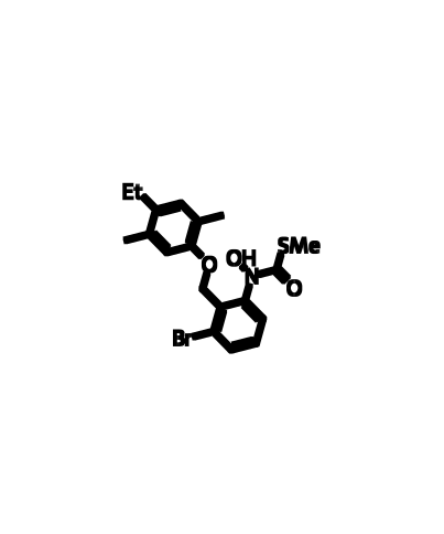 CCc1cc(C)c(OCc2c(Br)cccc2N(O)C(=O)SC)cc1C